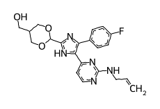 C=CCNc1nccc(-c2[nH]c(C3OCC(CO)CO3)nc2-c2ccc(F)cc2)n1